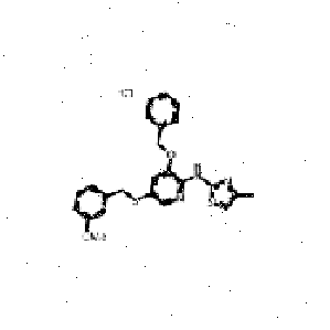 COc1cccc(CSc2cnc(Nc3nc(C)cs3)c(OCc3ccccc3)c2)c1.Cl